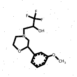 COc1cccc(C2CN(CC(O)C(F)(F)F)CCO2)c1